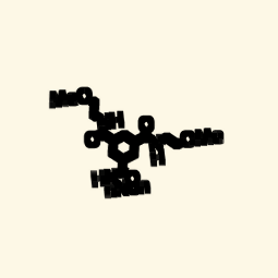 CCCCCCCCCNC(=O)C1CC(C(=O)NCCOC)CC(C(=O)NCCOC)C1